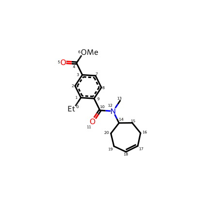 CCc1cc(C(=O)OC)ccc1C(=O)N(C)C1CCC=CCC1